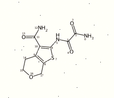 NC(=O)C(=O)Nc1sc2c(c1C(N)=O)CCOC2